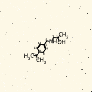 C=C(O)CNCC1=CCC(C(C)C)C=C1